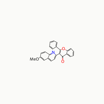 COc1ccc2nc(-c3c(-c4ccccc4)oc4ccccc4c3=O)ccc2c1